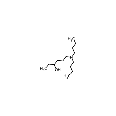 CCCCN(CCCC)CCCC(O)CC